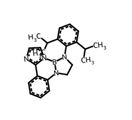 CC(C)c1cccc(C(C)C)c1N1CCN2B1n1ccnc1-c1ccccc12